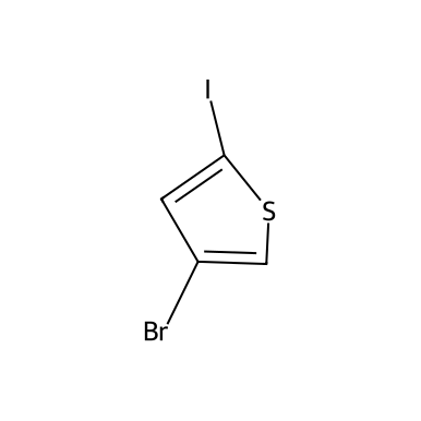 Brc1csc(I)c1